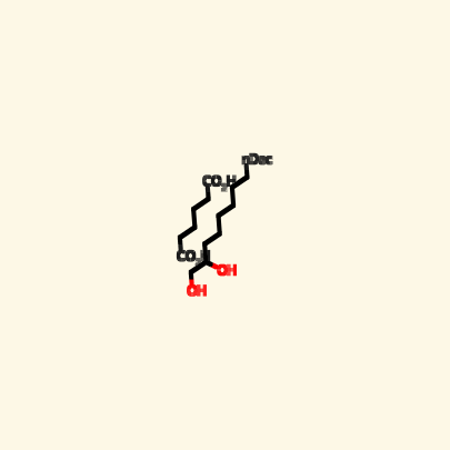 CCCCCCCCCCCCCCCCC(O)CO.O=C(O)CCCCC(=O)O